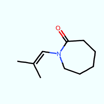 CC(C)=CN1CCCCCC1=O